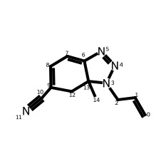 C=CCN1N=NC2=CC=C(C#N)CC21C